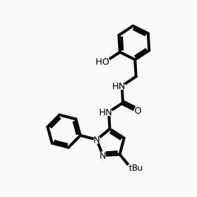 CC(C)(C)c1cc(NC(=O)NCc2ccccc2O)n(-c2ccccc2)n1